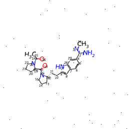 CN=C(N)c1ccc2cc(CC[C@@H]3CCCN3C(=O)[C@H]3CCCN3C(C)=O)[nH]c2c1